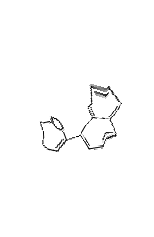 C1=C(c2cccc3ccccc23)OCC1